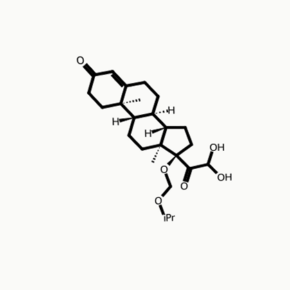 CC(C)OCO[C@]1(C(=O)C(O)O)CC[C@H]2[C@@H]3CCC4=CC(=O)CC[C@]4(C)[C@H]3CC[C@@]21C